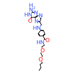 CCCCOCCOCCNC(=O)c1ccc(NCc2cnc3nc(N)[nH]c(=O)c3n2)cc1